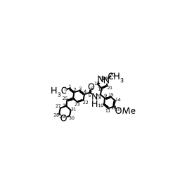 C/C=c1/cc(C(=O)N[C@@H](c2ccc(OC)cc2)c2cnn(C)c2)ccc1=CC1CCOCC1